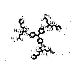 NC(=O)CC[C@@](N)(C(=O)Cc1ccsc1)C(=O)Nc1ccc(C(c2ccc(NC(=O)[C@@](N)(CCC(N)=O)C(=O)Cc3ccsc3)cc2)c2ccc(NC(=O)[C@@](N)(CCC(N)=O)C(=O)Cc3ccsc3)cc2)cc1